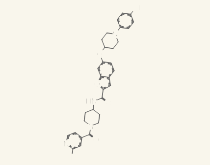 O=C(NC1CCN(C(=O)c2ccnc(I)c2)CC1)c1cc2ccc(OC3CCN(c4ccc(C(F)(F)F)cc4)CC3)cc2o1